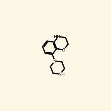 c1cc2c(c(N3CCNCC3)c1)OCCN2